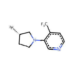 [2H][C@H]1CCN(c2cnccc2C(F)(F)F)C1